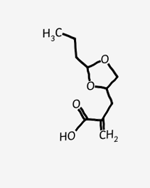 C=C(CC1COC(CCC)O1)C(=O)O